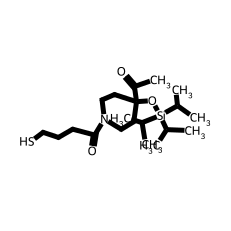 CC(=O)C1(O[Si](C(C)C)(C(C)C)C(C)C)CCN(C(=O)CCCS)CC1